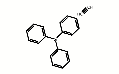 C#C.c1ccc([Si](c2ccccc2)c2ccccc2)cc1